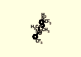 Cc1cc2c(C(F)(F)F)c(N)ccc2n1C(C)c1noc(-c2cccc(C(F)(F)F)c2)n1